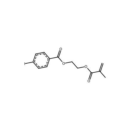 C=C(C)C(=O)OCCOC(=O)c1ccc(I)cc1